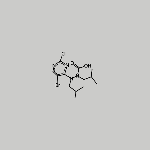 CC(C)CN(C(=O)O)N(CC(C)C)c1nc(Cl)ncc1Br